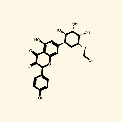 O=C1C(=O)C(c2ccc(O)cc2)Oc2cc([C@@H]3C[C@@H](OCO)[C@@H](O)[C@@H](O)[C@@H]3O)cc(O)c21